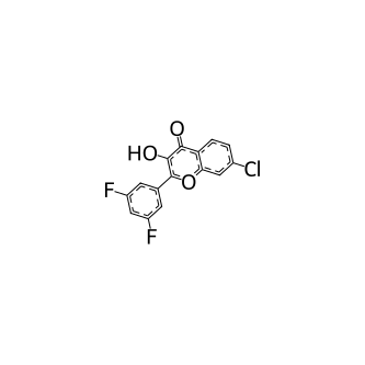 O=c1c(O)c(-c2cc(F)cc(F)c2)oc2cc(Cl)ccc12